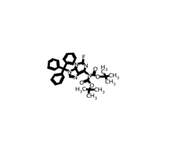 CC(C)(C)OC(=O)N(C(=O)OC(C)(C)C)c1nc(F)nc2c1ncn2C(c1ccccc1)(c1ccccc1)c1ccccc1